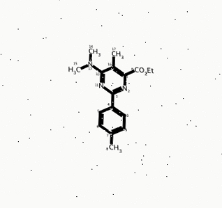 CCOC(=O)c1nc(-c2ccc(C)cc2)nc(N(C)C)c1C